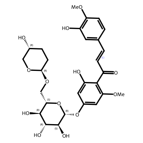 COc1ccc(/C=C/C(=O)c2c(O)cc(O[C@H]3O[C@@H](CO[C@@H]4CC[C@@H](O)CO4)[C@H](O)[C@@H](O)[C@@H]3O)cc2OC)cc1O